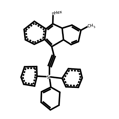 CCCCCCC1=c2ccccc2=C(C#C[Si](C2=CC=CCC2)(c2ccccc2)c2ccccc2)C2C=CC(C)=CC12